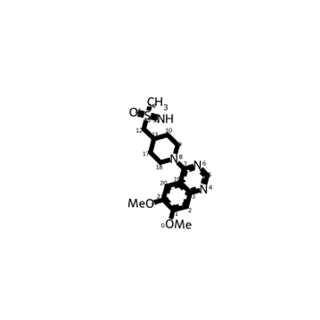 COc1cc2ncnc(N3CCC(CS(C)(=N)=O)CC3)c2cc1OC